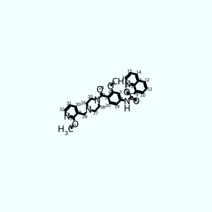 COc1cc(NS(=O)(=O)c2cccc3cccnc23)ccc1C(=O)N1CCN(Cc2cccnc2OC)CC1